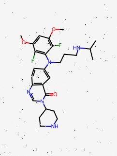 COc1cc(OC)c(F)c(N(CCCNC(C)C)c2ccc3ncn(C4CCNCC4)c(=O)c3c2)c1F